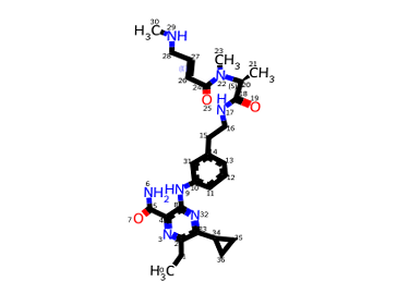 CCc1nc(C(N)=O)c(Nc2cccc(CCNC(=O)[C@H](C)N(C)C(=O)/C=C/CNC)c2)nc1C1CC1